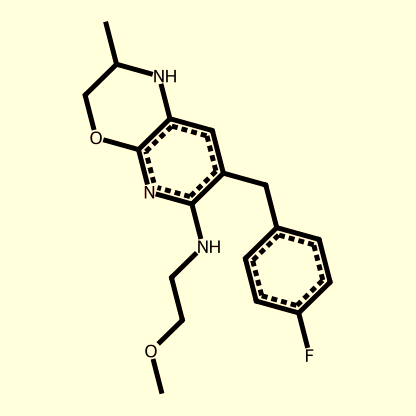 COCCNc1nc2c(cc1Cc1ccc(F)cc1)NC(C)CO2